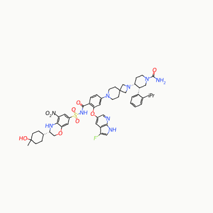 CC(C)c1ccccc1[C@H]1CN(C(N)=O)CC[C@H]1N1CC2(CCN(c3ccc(C(=O)NS(=O)(=O)c4cc5c(c([N+](=O)[O-])c4)N[C@@H](C4CCC(C)(O)CC4)CO5)c(Oc4cnc5[nH]cc(F)c5c4)c3)CC2)C1